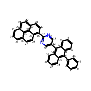 c1ccc(-c2c3ccccc3c(-c3cnc(-c4ccc5ccc6cccc7ccc4c5c67)nc3)c3ccccc23)cc1